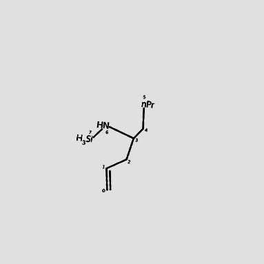 C=CCC(CCCC)N[SiH3]